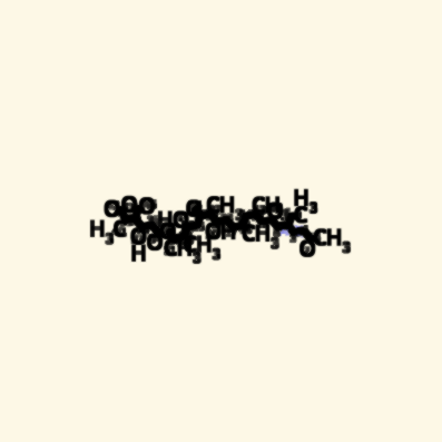 CCC(/C=C/C(C)=O)=C\C(=O)C[C@H](C)C[C@@H](C)CC[C@H](O)[C@H](C)C(=O)C[C@@H](O)[C@H](C)[C@@H](C)OC(=O)C[C@@H](O)C1=C(C)C(=O)OC1=O